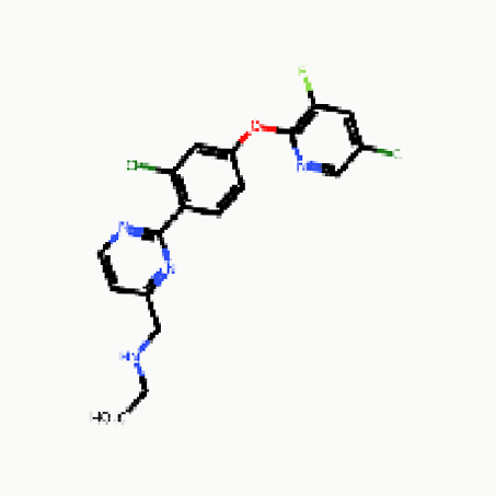 O=C(O)CNCc1ccnc(-c2ccc(Oc3ncc(Cl)cc3F)cc2Cl)n1